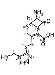 CCn1cnnc1SCC1=C(C(=O)O)N2C(=O)C(N)[C@@H]2SC1